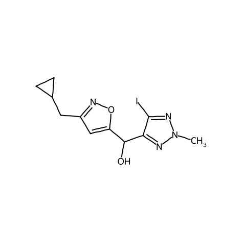 Cn1nc(I)c(C(O)c2cc(CC3CC3)no2)n1